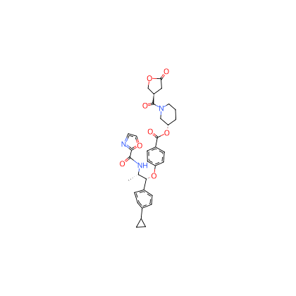 C[C@H](NC(=O)c1ncco1)[C@H](Oc1ccc(C(=O)O[C@H]2CCCN(C(=O)[C@H]3COC(=O)C3)C2)cc1)c1ccc(C2CC2)cc1